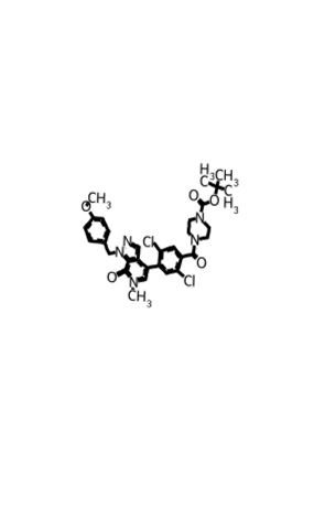 COc1ccc(Cn2ncc3c(-c4cc(Cl)c(C(=O)N5CCN(C(=O)OC(C)(C)C)CC5)cc4Cl)cn(C)c(=O)c32)cc1